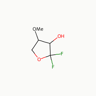 COC1COC(F)(F)C1O